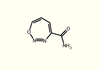 NC(=O)C1=CC=CON=N1